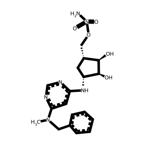 CN(Cc1ccccc1)c1cc(N[C@@H]2C[C@H](COS(N)(=O)=O)[C@@H](O)[C@H]2O)ncn1